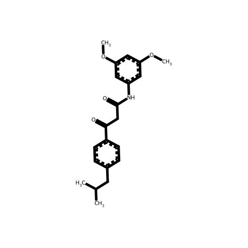 COc1cc(NC(=O)CC(=O)c2ccc(CC(C)C)cc2)cc(OC)c1